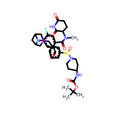 CN(C(=O)c1cc(F)c(N2C3CC2CN(Cc2cccc([S+]([O-])N4CCC(NC(=O)OC(C)(C)C)CC4)c2)C3)cc1C=O)C1CCC(=O)NC1=O